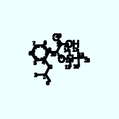 CC(C)Cc1ccccc1[C@@H](O[Si](C)(C)C(C)(C)C)C(=O)O